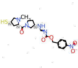 CN1C[C@@H](S)C[C@H]1C(=O)N1CC[C@H](NC=NC(=O)OCc2ccc([N+](=O)[O-])cc2)C1